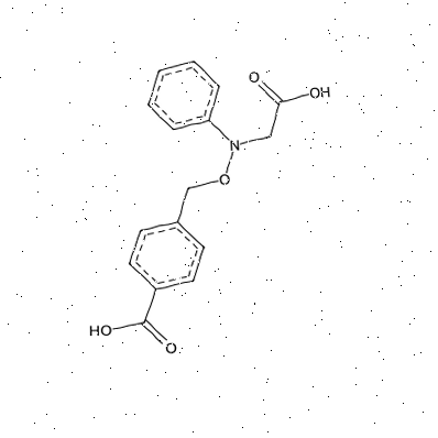 O=C(O)CN(OCc1ccc(C(=O)O)cc1)c1ccccc1